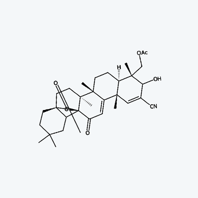 CC(=O)OC[C@]1(C)C(O)C(C#N)=C[C@]2(C)C3=CC(=O)[C@]45OC(=O)[C@@]6(CCC(C)(C)CC64)CC[C@@]5(C)[C@]3(C)CC[C@H]21